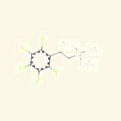 CC(=O)O[Si](CCc1c(F)c(F)c(F)c(F)c1F)(OC(C)=O)OC(C)=O